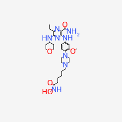 CCc1nc(C(N)=O)c(Nc2ccc(N3CCN(CCCCCC(=O)NO)CC3)c(OC)c2)nc1NC1CCOCC1